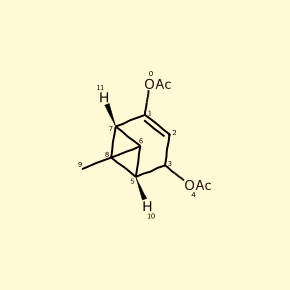 CC(=O)OC1=CC(OC(C)=O)[C@H]2C3[C@@H]1C32C